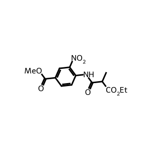 CCOC(=O)C(C)C(=O)Nc1ccc(C(=O)OC)cc1[N+](=O)[O-]